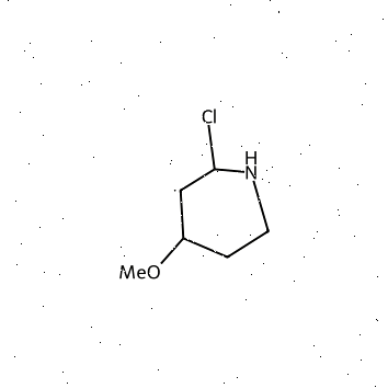 COC1[CH]C(Cl)NCC1